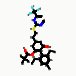 C=N/C(=N\C(=C)C(F)(F)F)SCCC1CC(=O)C(c2c(CC)cc(C)cc2CC)=C(OC(=O)C(C)(C)C)C1